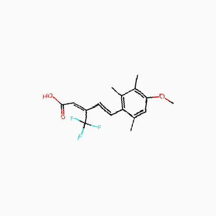 COc1cc(C)c(/C=C/C(=C/C(=O)O)C(F)(F)F)c(C)c1C